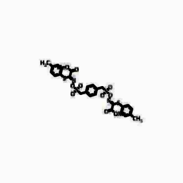 COC(=O)/C(=N/OS(=O)(=O)Cc1ccc(CS(=O)(=O)O/N=C(\Sc2ccc(C)cc2)C(=O)OC)cc1)Sc1ccc(C)cc1